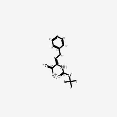 CC(C)(C)OC(=O)NC(=CCc1ccccc1)C(=O)O